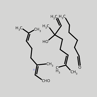 C=CC(C)(O)CCC=C(C)C.CC(C)=CCC/C(C)=C/C=O.CCCCCC=O